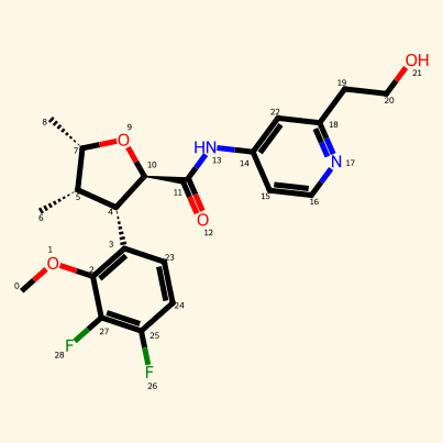 COc1c([C@@H]2[C@H](C)[C@H](C)O[C@H]2C(=O)Nc2ccnc(CCO)c2)ccc(F)c1F